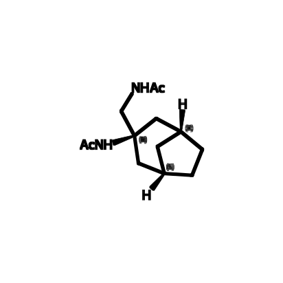 CC(=O)NC[C@]1(NC(C)=O)C[C@@H]2CC[C@@H](C2)C1